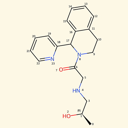 C[C@@H](O)CNCC(=O)N1CCc2ccccc2C1c1ccccn1